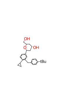 CC(C)(C)c1ccc(Cc2cc(C3C[C@@H](O)CC(CO)O3)ccc2C2CC2)cc1